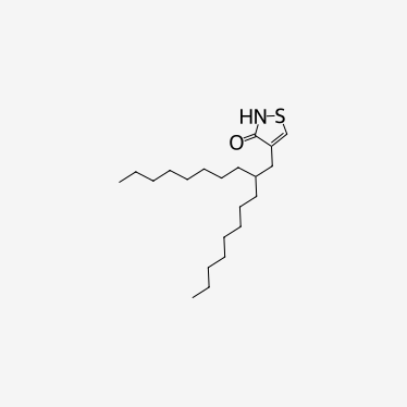 CCCCCCCCC(CCCCCCCC)Cc1cs[nH]c1=O